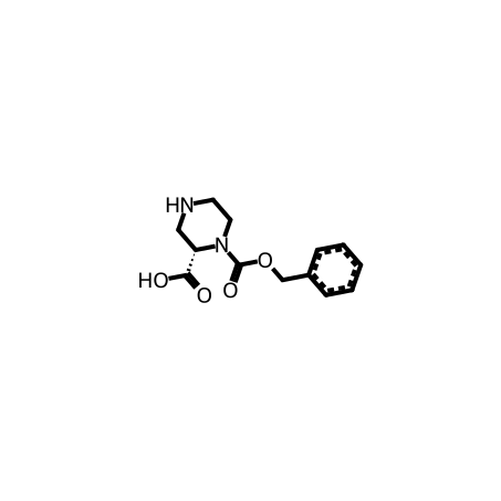 O=C(O)[C@@H]1CNCCN1C(=O)OCc1ccccc1